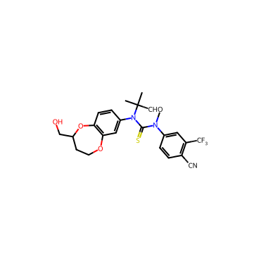 CN(C(=S)N(c1ccc2c(c1)OCCC(CO)O2)C(C)(C)C=O)c1ccc(C#N)c(C(F)(F)F)c1